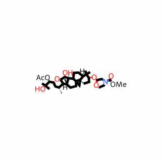 COC(=O)N1CCO[C@@H](O[C@H]2CC[C@]34CC35CC[C@]3(C)[C@@H]6C(OC([C@H](OC(C)=O)C(C)(C)O)C[C@H]6C)[C@H](O)[C@@]3(C)C5CC[C@H]4C2(C)C)C1